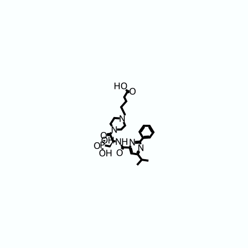 CC(C)c1cc(C(=O)N[C@@H](CP(=O)(O)O)C(=O)N2CCN(CCCCC(=O)O)CC2)nc(-c2ccccc2)n1